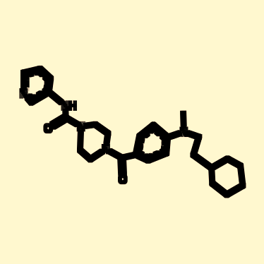 CN(CCC1CCCCC1)c1ccc(C(=O)N2CCN(C(=O)Nc3cccnc3)CC2)cc1